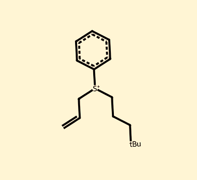 C=CC[S+](CCCC(C)(C)C)c1ccccc1